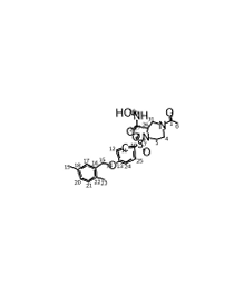 CC(=O)N1CCN(S(=O)(=O)c2ccc(OCc3cc(C)ccc3C)cc2)C(C(=O)NO)C1